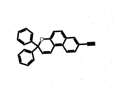 C#Cc1ccc2c3c(ccc2c1)OC(c1ccccc1)(c1ccccc1)C=C3